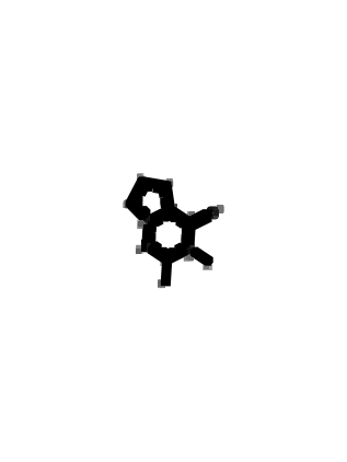 Cc1nn2cccc2c(=O)n1C